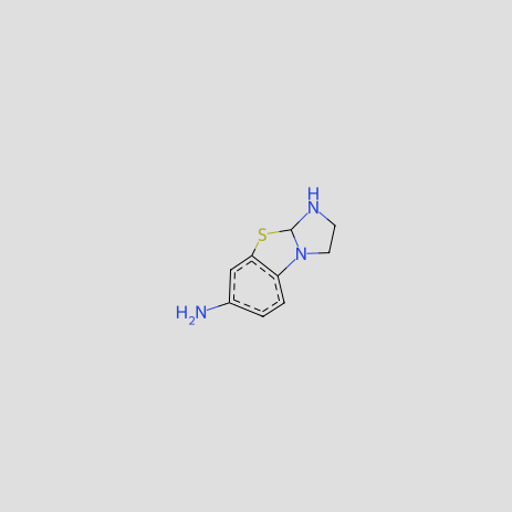 Nc1ccc2c(c1)SC1NCCN21